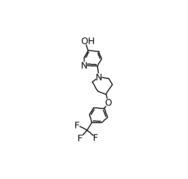 Oc1ccc(N2CCC(Oc3ccc(C(F)(F)F)cc3)CC2)nc1